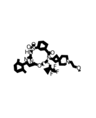 COCCN1CCC2(CC1)CC(N1C(=O)c3cccc(c3)S(=O)(=O)Nc3nc(cc(-c4c(C)cccc4C)n3)OC[C@H]1CC1(C(F)(F)F)CC1)C2